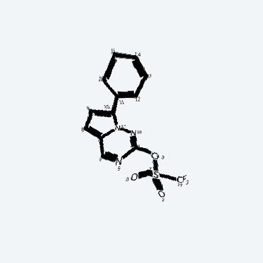 O=S(=O)(Oc1ncc2ccc(-c3ccccc3)n2n1)C(F)(F)F